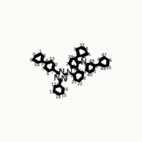 c1ccc(-c2ccc(-c3nc(-c4ccccc4)nc(-n4c5ccccc5c5c4ccc4c6ccccc6n(-c6cccc(-c7ccccc7)c6)c45)n3)cc2)cc1